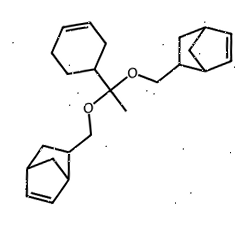 CC(OCC1CC2C=CC1C2)(OCC1CC2C=CC1C2)C1CC=CCC1